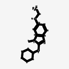 Cn1c(OC2CCCCC2)nc2ccc(OCC(F)(F)F)cc21